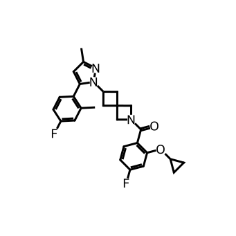 Cc1cc(-c2ccc(F)cc2C)n(C2CC3(C2)CN(C(=O)c2ccc(F)cc2OC2CC2)C3)n1